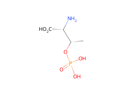 C[C@H](OP(=O)(O)O)[C@@H](N)C(=O)O